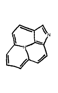 c1cc2ccc3cnc4ccc(c1)n2c34